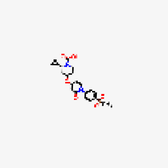 CS(=O)(=O)c1ccc(-n2ccc(OC3CCN(C(=O)O)C(C4CC4)C3)cc2=O)cc1